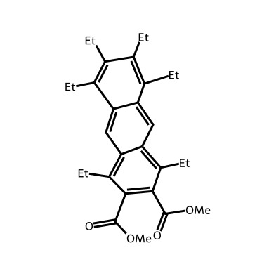 CCc1c(CC)c(CC)c2cc3c(CC)c(C(=O)OC)c(C(=O)OC)c(CC)c3cc2c1CC